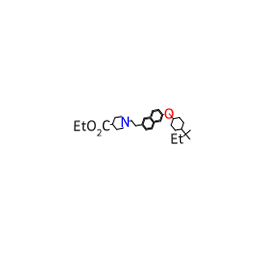 CCOC(=O)C1CCN(CCc2ccc3cc(OC4CCC(C(C)(C)CC)CC4)ccc3c2)CC1